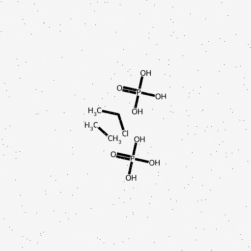 CC.CCCl.O=P(O)(O)O.O=P(O)(O)O